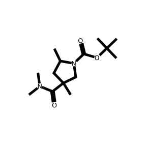 CC1CC(C)(C(=O)N(C)C)CN1C(=O)OC(C)(C)C